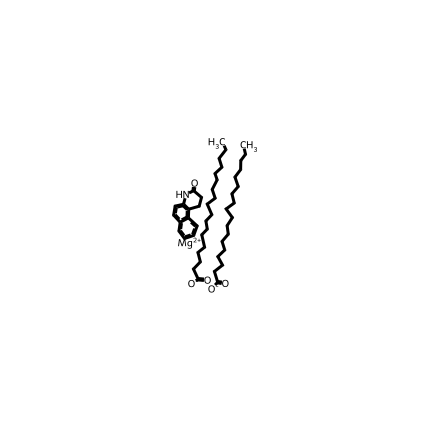 CCCCCCCCCCCCCCCCCC(=O)[O-].CCCCCCCCCCCCCCCCCC(=O)[O-].O=C1CCc2c(ccc3ccccc23)N1.[Mg+2]